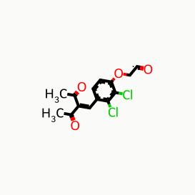 CC(=O)C(=Cc1ccc(OC[C]=O)c(Cl)c1Cl)C(C)=O